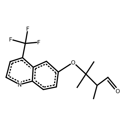 CC(C=O)C(C)(C)Oc1ccc2nccc(C(F)(F)F)c2c1